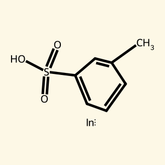 Cc1cccc(S(=O)(=O)O)c1.[In]